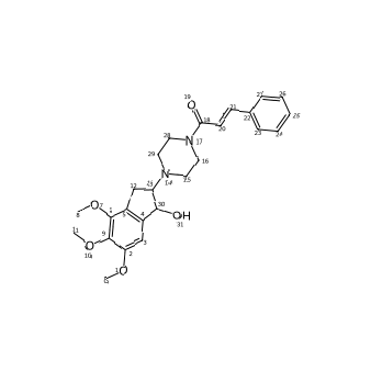 COc1cc2c(c(OC)c1OC)CC(N1CCN(C(=O)/C=C/c3ccccc3)CC1)C2O